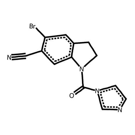 N#Cc1cc2c(cc1Br)CCN2C(=O)n1ccnc1